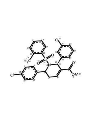 COC(=O)C1=CCC(c2ccc(Cl)cc2)N(S(=O)(=O)c2ccccc2C)[C@H]1c1cccc(Cl)c1